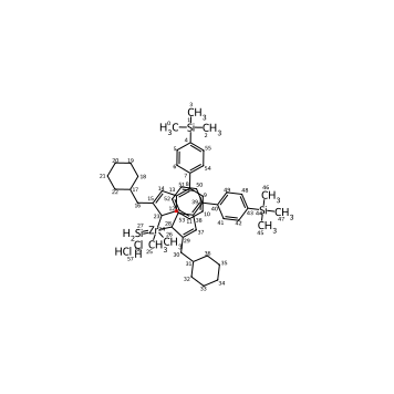 C[Si](C)(C)c1ccc(-c2cccc3c2C=C(CC2CCCCC2)[CH]3[Zr]([CH3])([CH3])(=[SiH2])[CH]2C(CC3CCCCC3)=Cc3c(-c4ccc([Si](C)(C)C)cc4)cccc32)cc1.Cl.Cl